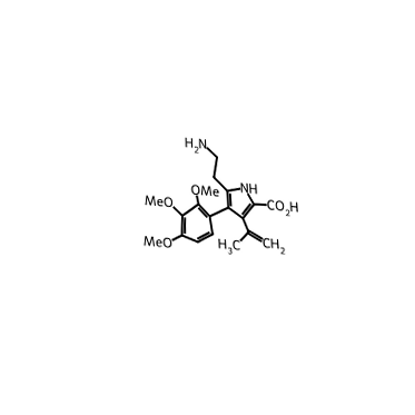 C=C(C)c1c(C(=O)O)[nH]c(CCN)c1-c1ccc(OC)c(OC)c1OC